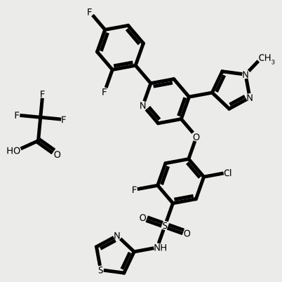 Cn1cc(-c2cc(-c3ccc(F)cc3F)ncc2Oc2cc(F)c(S(=O)(=O)Nc3cscn3)cc2Cl)cn1.O=C(O)C(F)(F)F